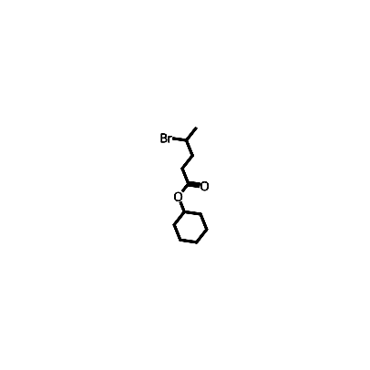 CC(Br)CCC(=O)OC1CCCCC1